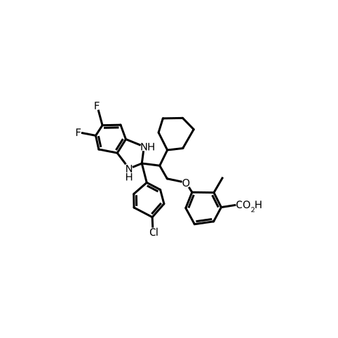 Cc1c(OCC(C2CCCCC2)C2(c3ccc(Cl)cc3)Nc3cc(F)c(F)cc3N2)cccc1C(=O)O